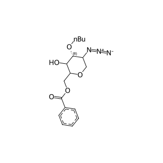 CCCCO[C@@H]1C(N=[N+]=[N-])COC(COC(=O)c2ccccc2)C1O